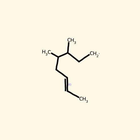 [CH2]CC(C)C(C)C/C=C/C